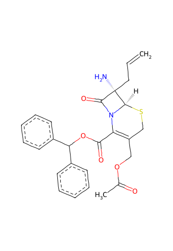 C=CC[C@]1(N)C(=O)N2C(C(=O)OC(c3ccccc3)c3ccccc3)=C(COC(C)=O)CS[C@@H]21